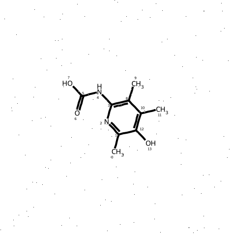 Cc1nc(NC(=O)O)c(C)c(C)c1O